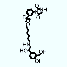 O=C1CNC(=O)N1c1cccc(C(F)(F)COCCCCCCNCC(O)c2ccc(O)c(CO)c2)c1